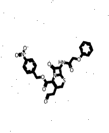 O=CCC1=C(C(=O)OCc2ccc([N+](=O)[O-])cc2)N2C(=O)C(NC(=O)COc3ccccc3)C2SC1